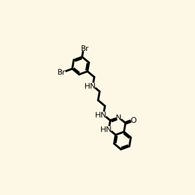 O=c1nc(NCCCNCc2cc(Br)cc(Br)c2)[nH]c2ccccc12